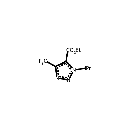 CCOC(=O)c1c(C(F)(F)F)nnn1C(C)C